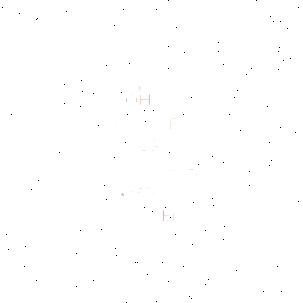 Cc1c(Br)ccc(CO)c1F